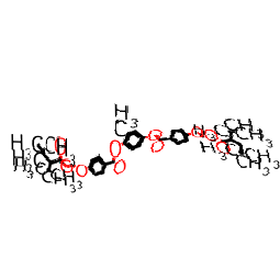 Cc1cc(OC(=O)c2ccc(OCOC(=O)C(CC(C)(C)C)C(C)(C)C)cc2)ccc1OC(=O)c1ccc(OCOC(=O)C(C(C)(C)C)C(C)(C)C)cc1